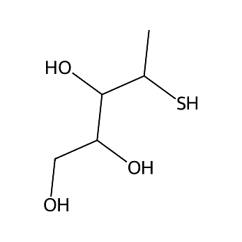 CC(S)C(O)C(O)CO